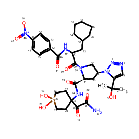 CC(C)(O)c1cnnn1[C@H]1C[C@@H](C(=O)NC2(C(=O)C(N)=O)CCS(O)(O)CC2)N(C(=O)C(CC2CCCCC2)NC(=O)c2ccc([N+](=O)[O-])cc2)C1